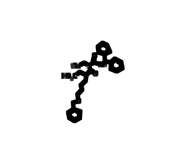 CC(C)(C)CN(C(=O)NC(c1ccccc1)c1ccccc1)C(=O)C(CCCCOCc1ccccc1)CC(=O)O